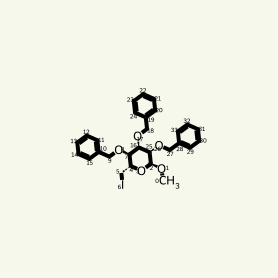 CO[C@H]1O[C@H](CI)[C@@H](OCc2ccccc2)[C@H](OCc2ccccc2)[C@@H]1OCc1ccccc1